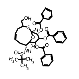 CC(C)(C)[S@@+]([O-])N[C@@H]1CC=CCC(CO)S[C@H]2O[C@H]1[C@H](OC(=O)c1ccccc1)[C@H](OC(=O)c1ccccc1)[C@H]2OC(=O)c1ccccc1